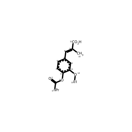 CCCC(=O)Oc1ccc(/C=C(\C)C(=O)O)cc1OCC